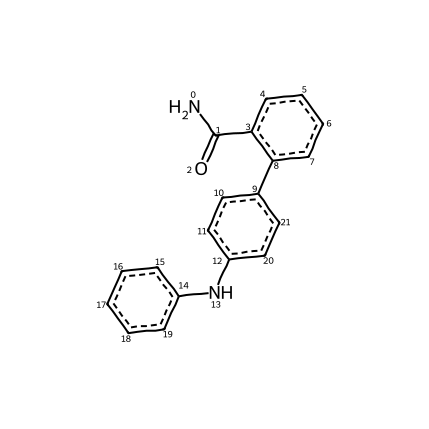 NC(=O)c1ccccc1-c1ccc(Nc2ccccc2)cc1